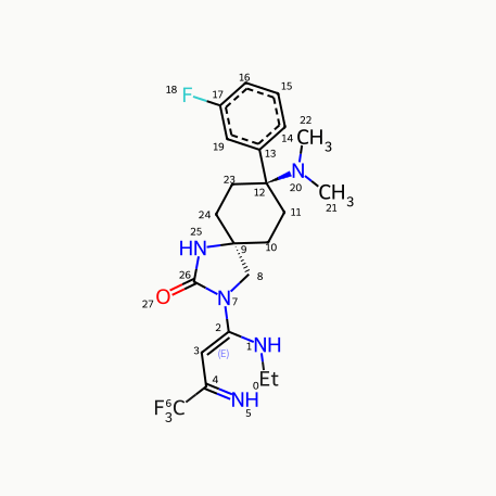 CCN/C(=C\C(=N)C(F)(F)F)N1C[C@]2(CC[C@](c3cccc(F)c3)(N(C)C)CC2)NC1=O